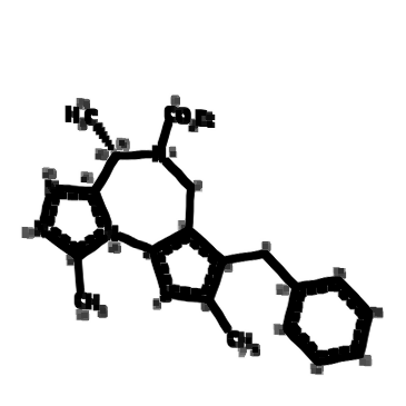 CCOC(=O)N1Cc2c(sc(C)c2Cc2ccccc2)-n2c(C)nnc2[C@@H]1C